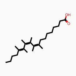 CCCC/C(C)=C(C)/C(C)=C(C)\C(C)=C(\C)CCCCCCCC(=O)O